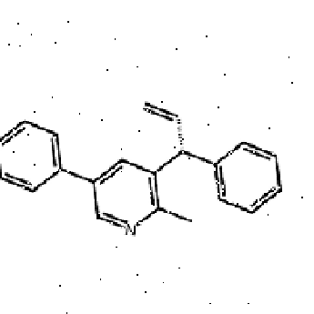 C=C[C@H](c1ccccc1)c1cc(-c2ccccc2)cnc1C